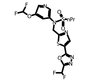 CCCS(=O)(=O)N(Cc1ncc(-c2nnc(C(F)F)o2)s1)c1cncc(OC(F)F)c1